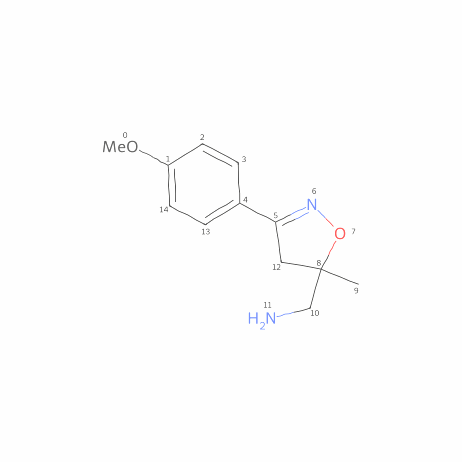 COc1ccc(C2=NOC(C)(CN)C2)cc1